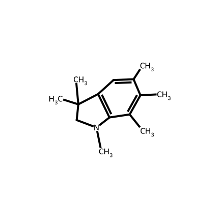 Cc1cc2c(c(C)c1C)N(C)CC2(C)C